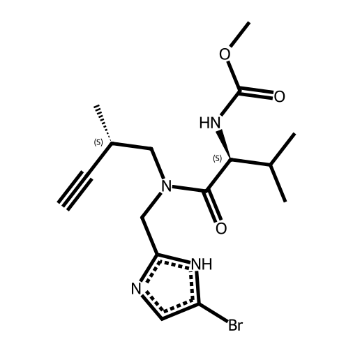 C#C[C@H](C)CN(Cc1ncc(Br)[nH]1)C(=O)[C@@H](NC(=O)OC)C(C)C